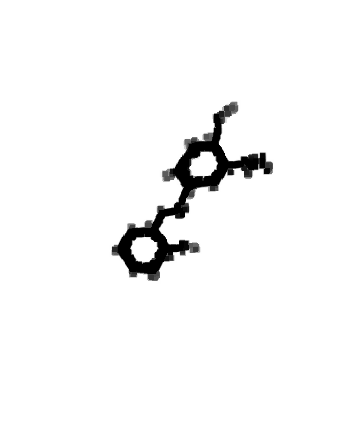 Nc1cc(SCc2ccccc2F)ccc1F